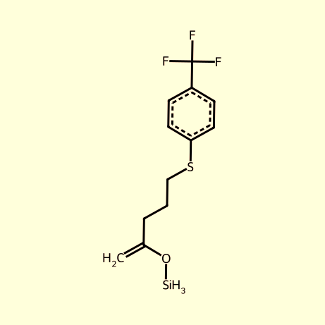 C=C(CCCSc1ccc(C(F)(F)F)cc1)O[SiH3]